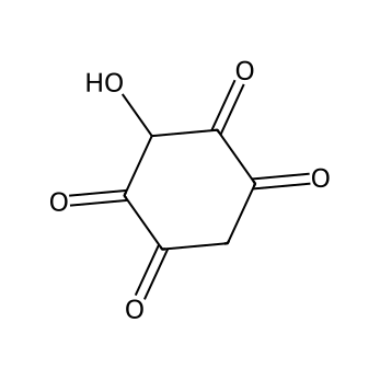 O=C1CC(=O)C(=O)C(O)C1=O